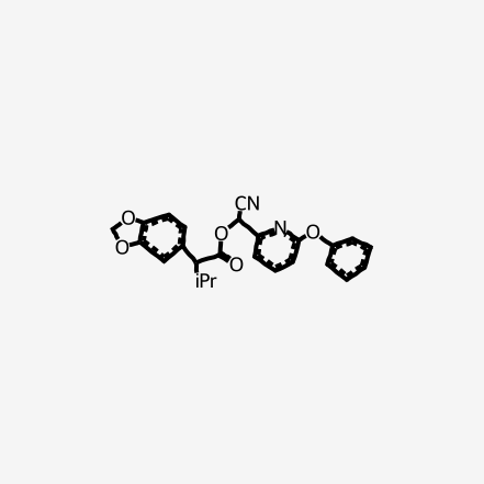 CC(C)C(C(=O)OC(C#N)c1cccc(Oc2ccccc2)n1)c1ccc2c(c1)OCO2